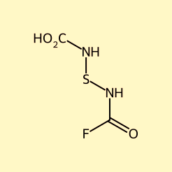 O=C(O)NSNC(=O)F